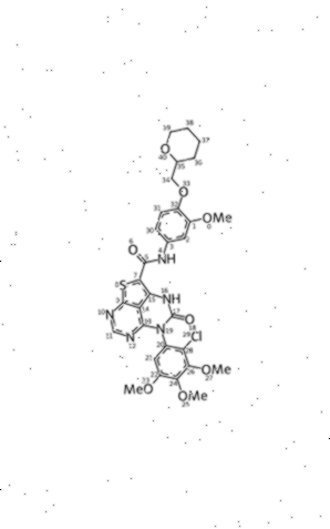 COc1cc(NC(=O)c2sc3ncnc4c3c2NC(=O)N4c2cc(OC)c(OC)c(OC)c2Cl)ccc1OCC1CCCCO1